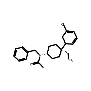 CC(=O)N(Cc1ccccc1)[C@H]1CC[C@](CN)(C2C=CC=C(Cl)C2)CC1